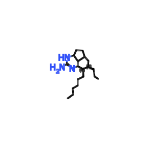 CCCCCC[C@H]1C2N=C(N)NC3CCC(C[C@H]1CCC)C32